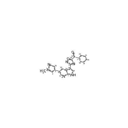 Cn1cc(-c2cnc3[nH]cc(-c4noc(C(=O)c5ccccc5)n4)c3c2)cn1